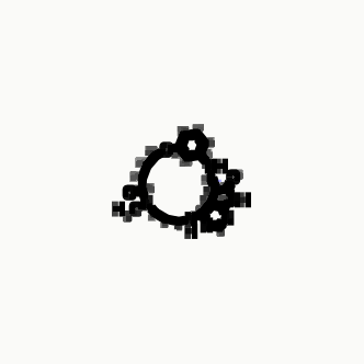 CN1CCCNc2ncnc3c2/C(=C/Nc2cccc(c2)OCCCC1=O)C(=O)N3